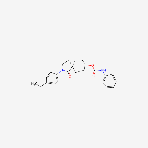 CCc1ccc(N2CC[C@]3(CC[C@H](OC(=O)Nc4ccccc4)CC3)C2=O)cc1